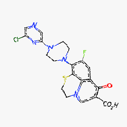 O=C(O)c1cn2c3c(c(N4CCN(c5cncc(Cl)n5)CC4)c(F)cc3c1=O)SCC2